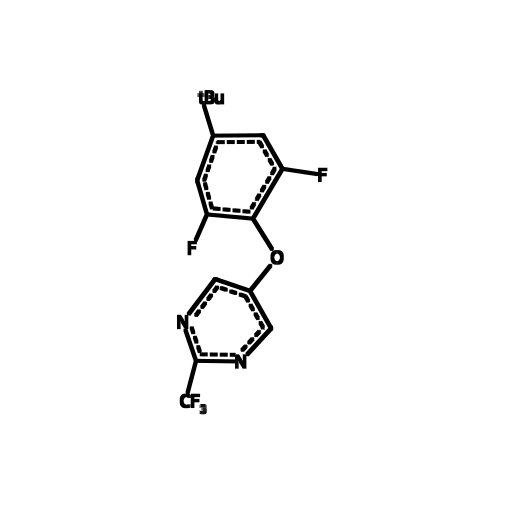 CC(C)(C)c1cc(F)c(Oc2cnc(C(F)(F)F)nc2)c(F)c1